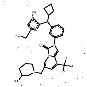 C=C1N2C=C(CN3CCC[C@H](C)C3)C=C(C(F)(F)F)C2=CN1c1cccc(C(c2nc(CC)cn2C)C2CCC2)c1